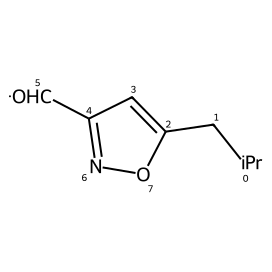 CC(C)Cc1cc([C]=O)no1